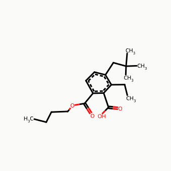 CCCCOC(=O)c1ccc(CC(C)(C)C)c(CC)c1C(=O)O